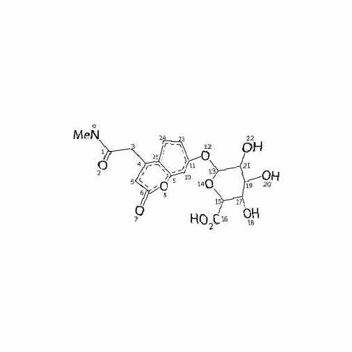 CNC(=O)Cc1cc(=O)oc2cc(OC3OC(C(=O)O)C(O)C(O)C3O)ccc12